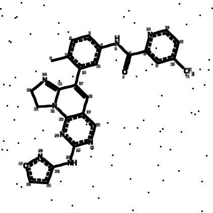 Cc1ccc(NC(=O)c2cc(C(F)(F)F)ccn2)cc1C1=Cc2cnc(Nc3ccon3)nc2N2CCN=C12